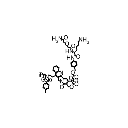 CC[C@@]1(OC(=O)OCc2ccc(NC(=O)[C@H](CCCCN)NC(=O)COCC(N)=O)cc2)C(=O)OCc2c1cc1n(c2=O)Cc2c-1nc1ccccc1c2CCN(C(C)C)S(=O)(=O)c1ccc(C)cc1